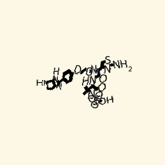 CC1(C)C(NC(=O)/C(=N\OCCOc2ccc(-c3nc4c([nH]3)CNCC4)cc2)c2csc(N)n2)C(=O)N1OS(=O)(=O)O